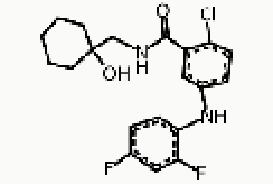 O=C(NCC1(O)CCCCC1)c1cc(Nc2ccc(F)cc2F)ccc1Cl